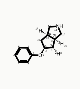 [2H][C@@H]1[C@@H](Oc2ccccc2)C[C@H]2CNC[C@]21[2H]